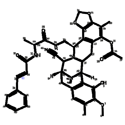 COc1c(C)cc2c(c1O)[C@H]1C3Cc4c(OC(C)=O)c(C)c5c(c4[C@H](CNC(=O)[C@H](C)NC(=O)/C=C/c4ccccc4)N3C(C#N)[C@@H](C2)N1C)OCO5